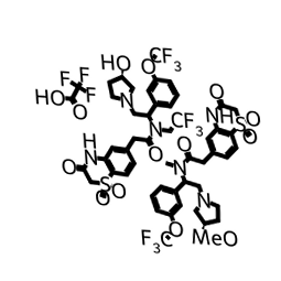 CO[C@H]1CCN(CC(c2cccc(OC(F)(F)F)c2)N(C)C(=O)Cc2ccc3c(c2)NC(=O)CS3(=O)=O)C1.O=C(O)C(F)(F)F.O=C1CS(=O)(=O)c2ccc(CC(=O)N(CC(F)(F)F)C(CN3CC[C@H](O)C3)c3cccc(OC(F)(F)F)c3)cc2N1